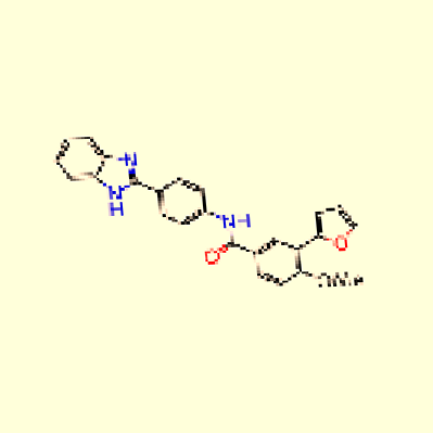 COc1ccc(C(=O)Nc2ccc(-c3nc4ccccc4[nH]3)cc2)cc1-c1ccco1